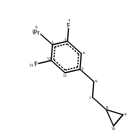 CC(C)c1c(F)cc(CCC2CC2)cc1F